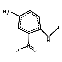 Cc1ccc(NI)c([N+](=O)[O-])c1